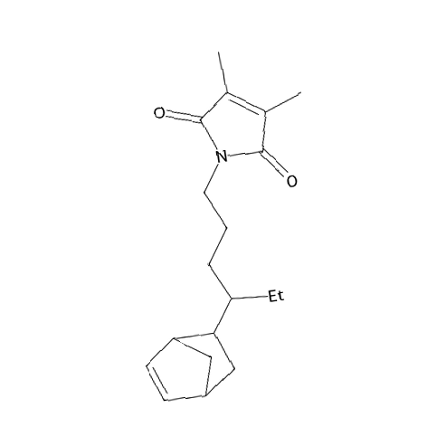 CCC(CCCN1C(=O)C(C)=C(C)C1=O)C1CC2C=CC1C2